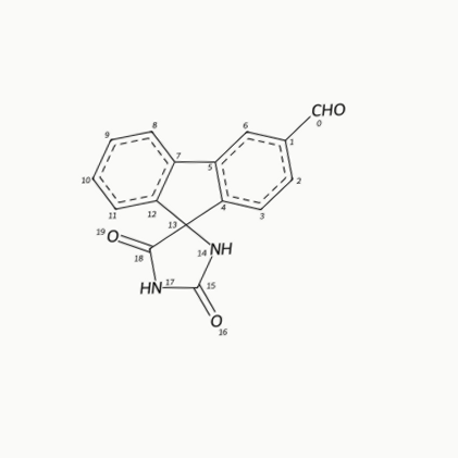 O=Cc1ccc2c(c1)-c1ccccc1C21NC(=O)NC1=O